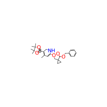 CC1=C(B2OC(C)(C)C(C)(C)O2)CNC(OCC2(C(=O)OCc3ccccc3)CC2)=C1